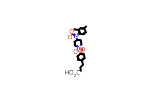 Cc1ccc2c(c1)COC(=O)N2C1CCN(S(=O)(=O)c2ccc(CCCC(=O)O)cc2)CC1